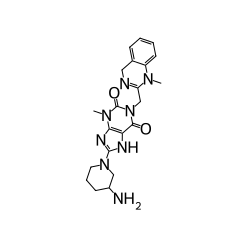 CN1C(Cn2c(=O)c3[nH]c(N4CCCC(N)C4)nc3n(C)c2=O)=NCc2ccccc21